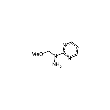 COCN(N)c1ncccn1